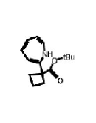 CC(C)(C)OC(=O)C1(C2=CC=CC=CN2)CCC1